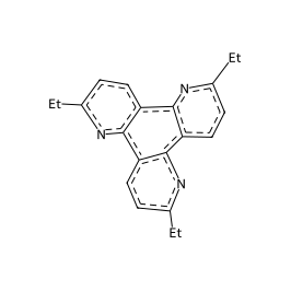 CCc1ccc2c(n1)c1ccc(CC)nc1c1ccc(CC)nc21